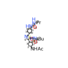 CC(=O)Nc1ccc(-c2cnc(-c3ccc(NC(=O)NC(C)C)cc3)s2)c(S(=O)(=O)NC(C)(C)C)c1